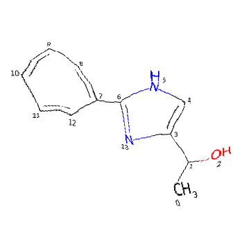 CC(O)c1c[nH]c(-c2ccccc2)n1